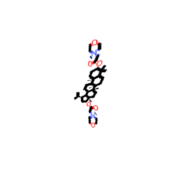 C=C(C)[C@@H]1CC[C@]2(COC(=O)C[N+]3(C)CCOCC3)CC[C@]3(C)C(CCC4[C@@]5(C)CC[C@H](OC(=O)C[N+]6(C)CCOCC6)C(C)(C)C5CC[C@]43C)C12